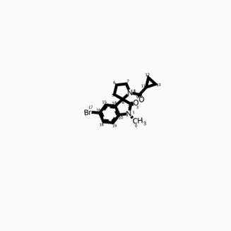 CN1C(=O)C2(CCCN2C(=O)C2CC2)c2cc(Br)ccc21